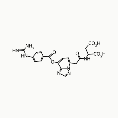 N=C(N)Nc1ccc(C(=O)Oc2ccc(CC(=O)NC(CC(=O)O)C(=O)O)n3ncnc23)cc1